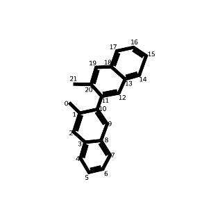 Cc1cc2ccccc2cc1-c1cc2ccccc2cc1C